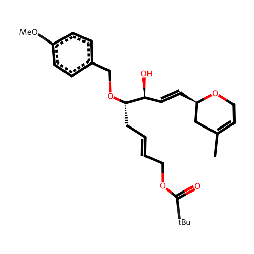 COc1ccc(CO[C@@H](C/C=C/COC(=O)C(C)(C)C)[C@@H](O)/C=C/[C@@H]2CC(C)=CCO2)cc1